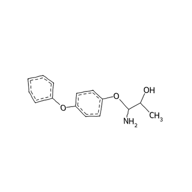 CC(O)C(N)Oc1ccc(Oc2ccccc2)cc1